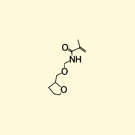 C=C(C)C(=O)NCOCC1CCCO1